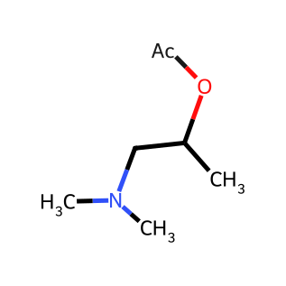 CC(=O)OC(C)CN(C)C